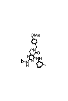 COc1ccc(CN2CCc3nc(NC4CC4)nc(Nc4cccc(C)c4)c3C2=O)cc1